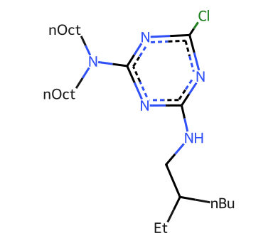 CCCCCCCCN(CCCCCCCC)c1nc(Cl)nc(NCC(CC)CCCC)n1